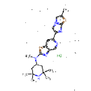 Cc1cn2cc(-c3cc4sc(N(C)C5CC(C)(C)NC(C)(C)C5)nc4cn3)nc2s1.Cl